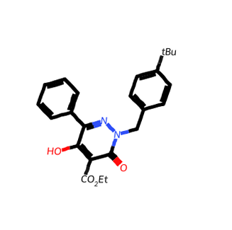 CCOC(=O)c1c(O)c(-c2ccccc2)nn(Cc2ccc(C(C)(C)C)cc2)c1=O